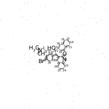 CN(C)CCCCC1(O)c2cc(c3ccccc3c2)Oc2nc3ccccc3cc2C1c1ccc(Br)cc1